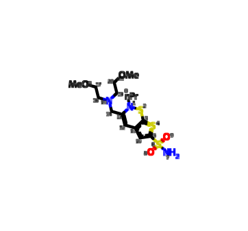 CCCN1Sc2sc(S(N)(=O)=O)cc2C=C1CN(CCOC)CCOC